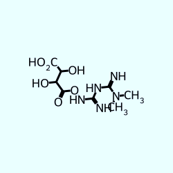 CN(C)C(=N)NC(=N)NOC(=O)C(O)C(O)C(=O)O